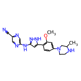 COc1cc(N2CCNC(C)C2)ccc1-c1cc(Nc2cnc(C#N)cn2)n[nH]1